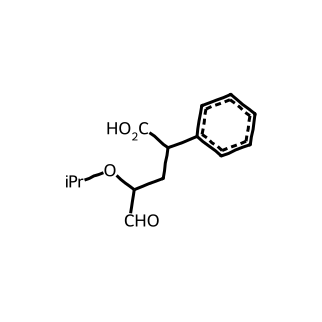 CC(C)OC(C=O)CC(C(=O)O)c1ccccc1